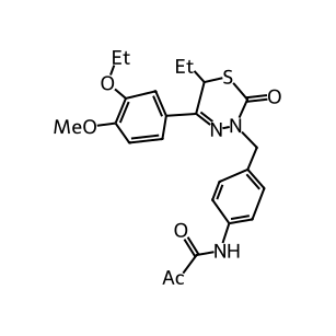 CCOc1cc(C2=NN(Cc3ccc(NC(=O)C(C)=O)cc3)C(=O)SC2CC)ccc1OC